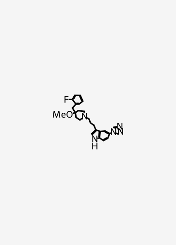 COC1(Cc2ccccc2F)CCN(CCCc2c[nH]c3ccc(-n4cnnc4)cc23)CC1